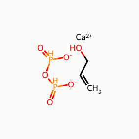 C=CCO.O=[PH]([O-])O[PH](=O)[O-].[Ca+2]